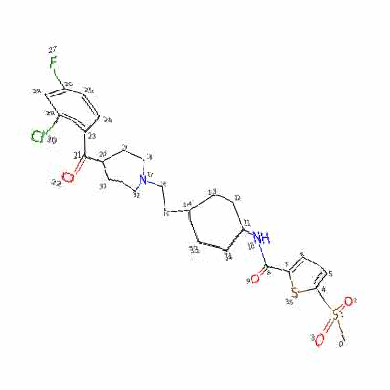 CS(=O)(=O)c1ccc(C(=O)NC2CCC(CCN3CCC(C(=O)c4ccc(F)cc4Cl)CC3)CC2)s1